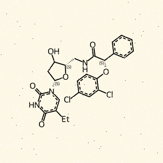 CCc1cn([C@@H]2CC(O)[C@H](CNC(=O)[C@@H](Oc3ccc(Cl)cc3Cl)c3ccccc3)O2)c(=O)[nH]c1=O